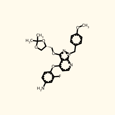 COc1ccc(Cn2nc(OC[C@@H]3COC(C)(C)O3)c3c(Oc4ccc(N)cc4F)ccnc32)cc1